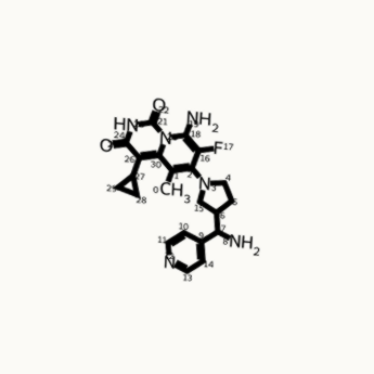 Cc1c(N2CCC(C(N)c3ccncc3)C2)c(F)c(N)n2c(=O)[nH]c(=O)c(C3CC3)c12